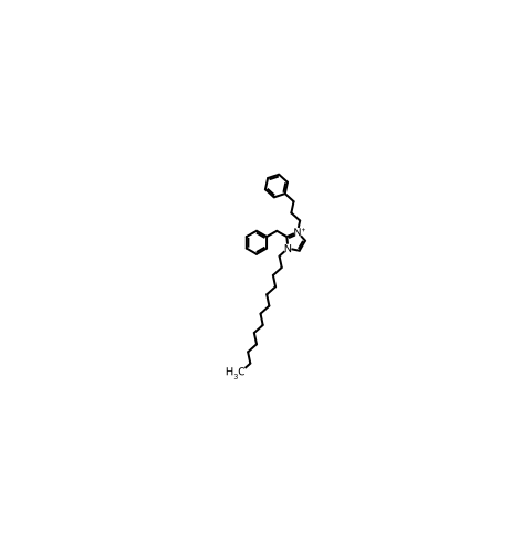 CCCCCCCCCCCCCn1cc[n+](CCCc2ccccc2)c1Cc1ccccc1